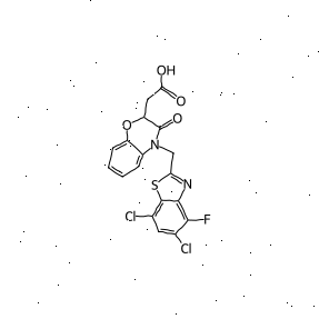 O=C(O)CC1Oc2ccccc2N(Cc2nc3c(F)c(Cl)cc(Cl)c3s2)C1=O